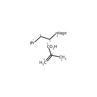 C=C(C)C(=O)O.CCCCCCCCCC(C)C